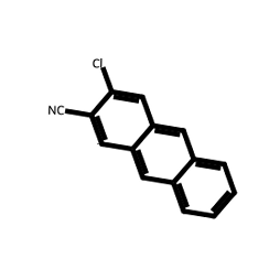 N#Cc1[c]c2cc3ccccc3cc2cc1Cl